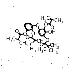 C=C(C)C(=O)Oc1c(OC(=O)C(C)C)cccc1Oc1ccc(OC(=O)C(C)(C)C)c(O)c1OC(=O)C(=C)C